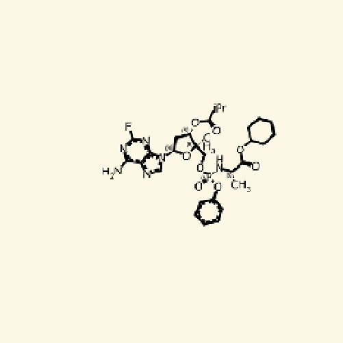 CC(C)C(=O)O[C@H]1C[C@H](n2cnc3c(N)nc(F)nc32)O[C@]1(C)CO[P@@](=O)(N[C@@H](C)C(=O)OC1CCCCC1)Oc1ccccc1